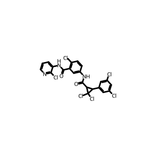 O=C(Nc1cccnc1Cl)c1cc(NC(=O)C2C(c3cc(Cl)cc(Cl)c3)C2(Cl)Cl)ccc1Cl